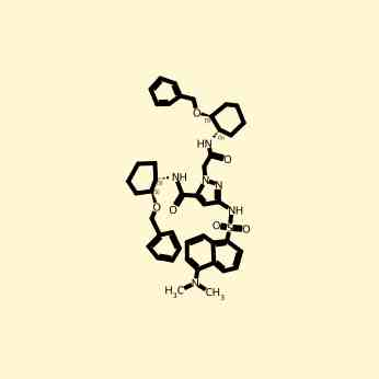 CN(C)c1cccc2c(S(=O)(=O)Nc3cc(C(=O)N[C@H]4CCCC[C@@H]4OCc4ccccc4)n(CC(=O)N[C@H]4CCCC[C@@H]4OCc4ccccc4)n3)cccc12